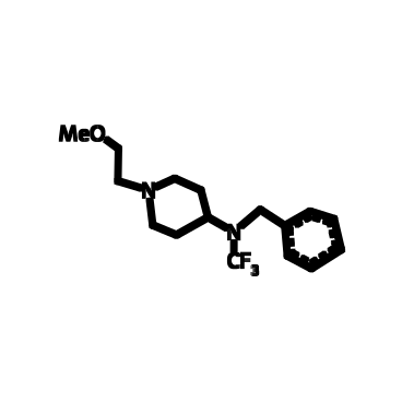 COCCN1CCC(N(Cc2ccccc2)C(F)(F)F)CC1